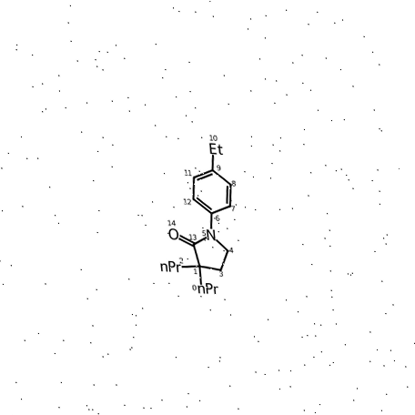 CCCC1(CCC)CCN(c2ccc(CC)cc2)C1=O